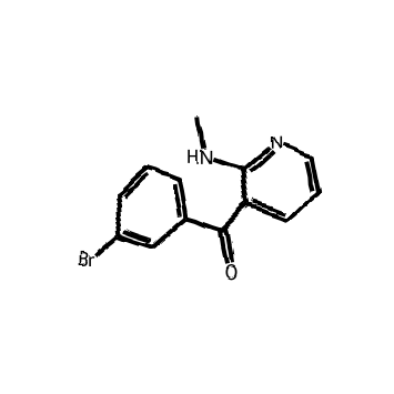 CNc1ncccc1C(=O)c1cccc(Br)c1